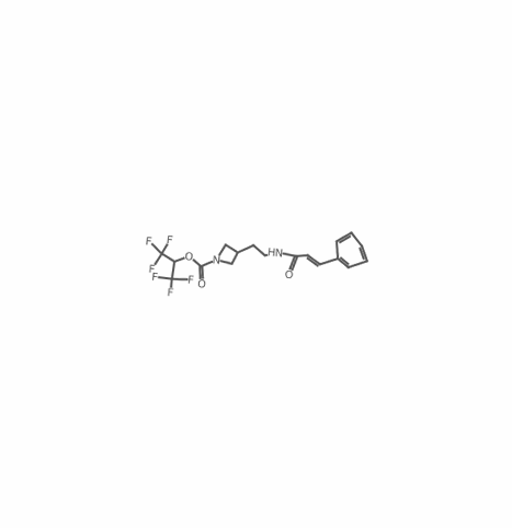 O=C(/C=C/c1ccccc1)NCCC1CN(C(=O)OC(C(F)(F)F)C(F)(F)F)C1